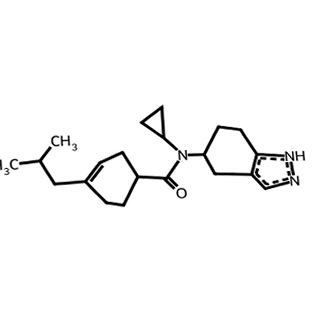 CC(C)CC1=CCC(C(=O)N(C2CC2)C2CCc3[nH]ncc3C2)CC1